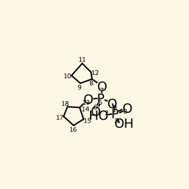 O=P(O)(O)OP(=O)(OC1CCCC1)OC1CCCC1